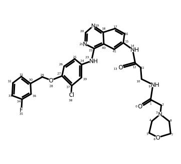 O=C(CN1CCOCC1)NCCC(=O)Nc1ccc2ncnc(Nc3ccc(OCc4cccc(F)c4)c(Cl)c3)c2c1